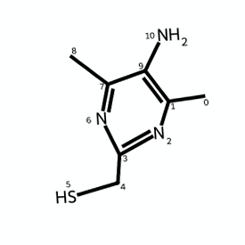 Cc1nc(CS)nc(C)c1N